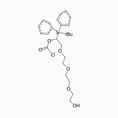 CC(C)(C)[Si](c1ccccc1)(c1ccccc1)C(COCCOCCOCCO)OC(=O)Cl